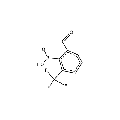 O=Cc1cccc(C(F)(F)F)c1B(O)O